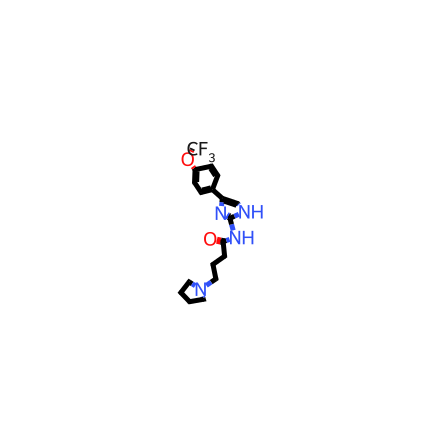 O=C(CCCN1CCCC1)Nc1nc(-c2ccc(OC(F)(F)F)cc2)c[nH]1